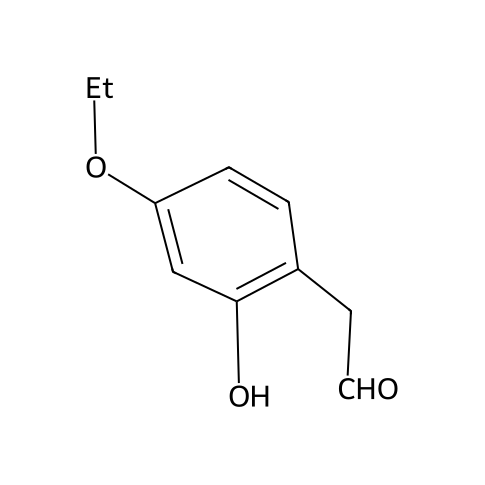 CCOc1ccc(CC=O)c(O)c1